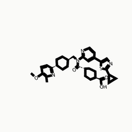 COc1ccc([C@H]2CC[C@H](CN(c3cc(-c4cnc(C5CC5)s4)ccn3)C(=O)[C@H]3CC[C@H](C(=O)O)CC3)CC2)nc1C